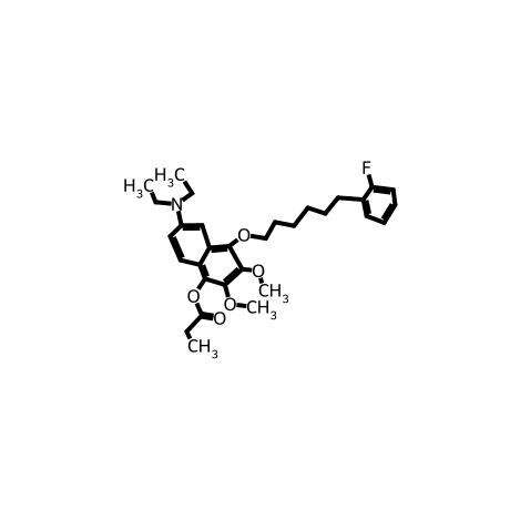 CCC(=O)Oc1c(OC)c(OC)c(OCCCCCCc2ccccc2F)c2cc(N(CC)CC)ccc12